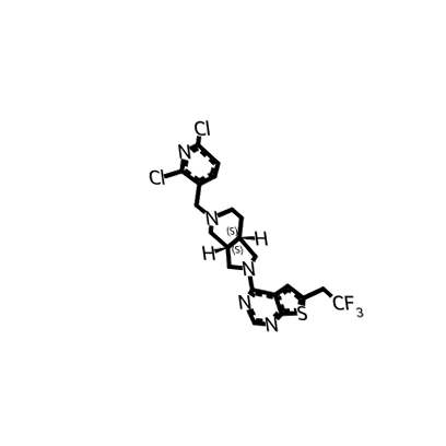 FC(F)(F)Cc1cc2c(N3C[C@H]4CCN(Cc5ccc(Cl)nc5Cl)C[C@H]4C3)ncnc2s1